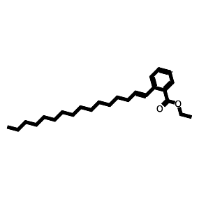 CCCCCCCCCCCCCCC=Cc1cc[c]cc1C(=O)OCC